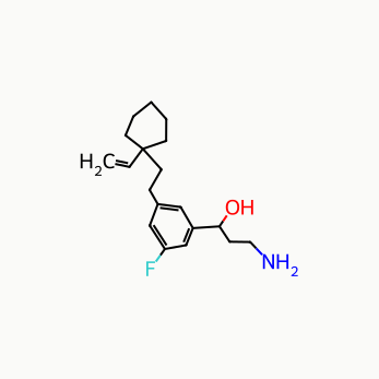 C=CC1(CCc2cc(F)cc(C(O)CCN)c2)CCCCC1